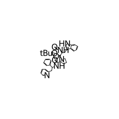 CC(C)(C)OC(=O)NC(Cc1c[nH]c2ccccc12)C(=O)N1CCCC1C(=O)NC(Cc1ccccn1)c1ccccc1